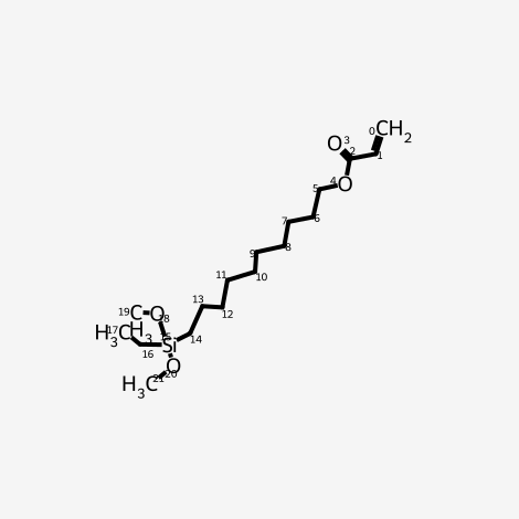 C=CC(=O)OCCCCCCCCCC[Si](CC)(OC)OC